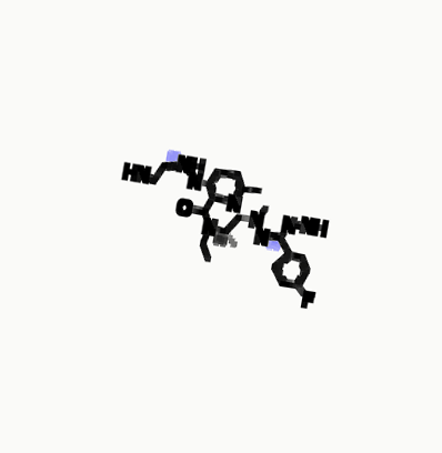 CCN(C(=O)c1nc(C)ccc1N/N=C\C=N)[C@@H](C)CN(C)/N=C(\N=N)c1ccc(F)cc1